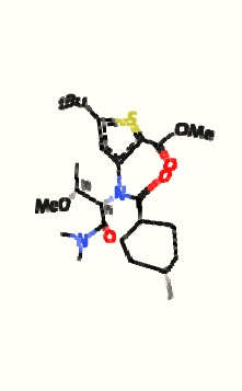 COC(=O)c1sc(C(C)(C)C)cc1N(C(=O)[C@H]1CC[C@H](C)CC1)[C@H](C(=O)N(C)C)[C@@H](C)OC